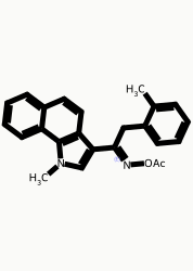 CC(=O)O/N=C(\Cc1ccccc1C)c1cn(C)c2c1ccc1ccccc12